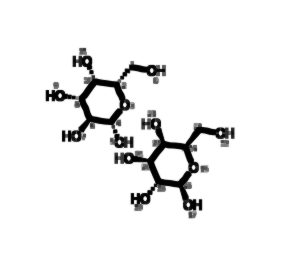 OC[C@@H]1O[C@H](O)[C@@H](O)[C@H](O)[C@@H]1O.OC[C@H]1O[C@@H](O)[C@H](O)[C@@H](O)[C@H]1O